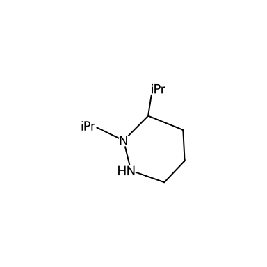 CC(C)C1CCCNN1C(C)C